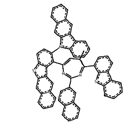 CC1C=C(c2c(-n3c4ccccc4c4cc5ccccc5cc43)ccc3sc4cc5ccccc5cc4c23)N=C(c2ccc3ccccc3c2)N=C1c1cccc2c1sc1ccccc12